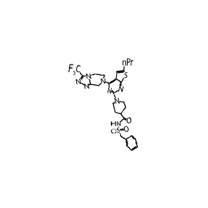 CCCc1cc2c(N3CCn4c(nnc4C(F)(F)F)C3)nc(N3CCC(C(=O)NS(=O)(=O)Cc4ccccc4)CC3)nc2s1